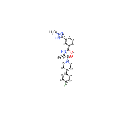 CC(C)[C@@H](NC(=O)c1cccc(-c2nn(C)[nH]2)c1)C(=O)N1CCC(c2ccc(Cl)cc2)CC1